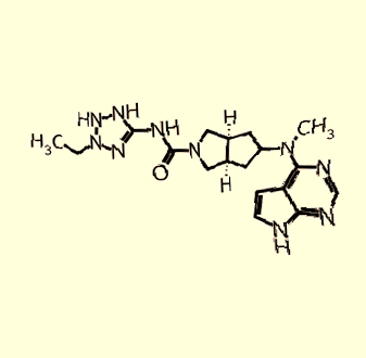 CCN1N=C(NC(=O)N2C[C@H]3CC(N(C)c4ncnc5[nH]ccc45)C[C@H]3C2)NN1